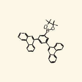 CC1(C)OB(c2cc(-c3cc4ccccc4c4ccccc34)cc(-c3cc4ccccc4c4ccccc34)c2)OC1(C)C